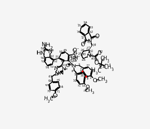 COc1ccc(CN(Cc2ccc(OC)cc2)S(=O)(=O)c2c([S+]([O-])N[C@@H]3C[C@@H](CN4C(=O)c5ccccc5C4=O)N(C(=O)OC(C)(C)C)C3)ccc(-c3cccc4[nH]c(N)nc34)c2-c2nnn(Cc3ccc(OC)cc3)n2)cc1